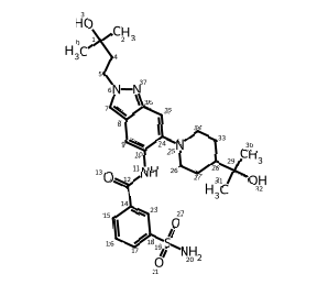 CC(C)(O)CCn1cc2cc(NC(=O)c3cccc(S(N)(=O)=O)c3)c(N3CCC(C(C)(C)O)CC3)cc2n1